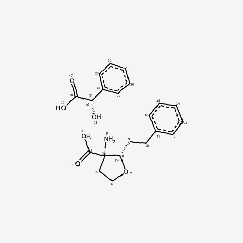 NC1(C(=O)O)CCO[C@H]1CCc1ccccc1.O=C(O)[C@@H](O)c1ccccc1